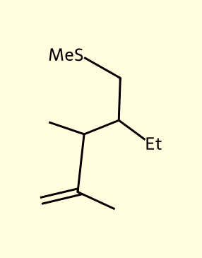 C=C(C)C(C)C(CC)CSC